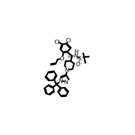 C=CCOc1cc(Cl)c(Cl)cc1[C@H](N[S@@+]([O-])C(C)(C)C)C1CCN(c2cnn(C(c3ccccc3)(c3ccccc3)c3ccccc3)c2)CC1